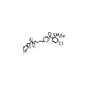 COc1cc(Cl)ccc1C(=O)N1CCC(CCCCNC(=O)c2cc3ccncc3s2)CC1